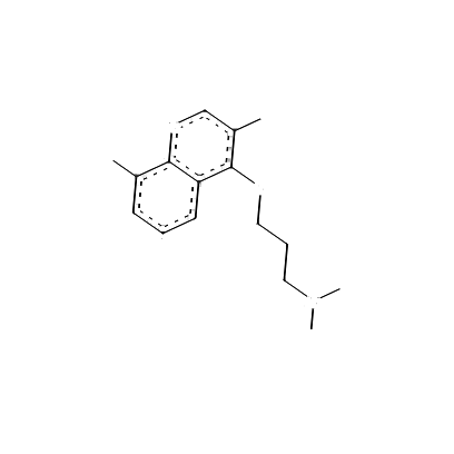 CCOC(=O)c1cnc2c(C)cccc2c1NCCCN(C)C